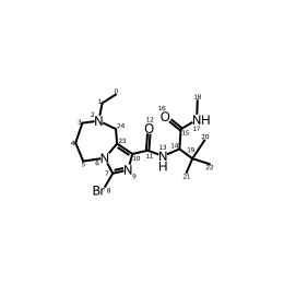 CCN1CCCn2c(Br)nc(C(=O)NC(C(=O)NC)C(C)(C)C)c2C1